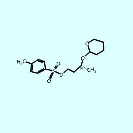 Cc1ccc(S(=O)(=O)OCC[C@@H](C)OC2CCCCO2)cc1